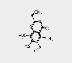 C=Cc1cc(=O)c2c(C)c(C=O)c(S)c(C)c2o1